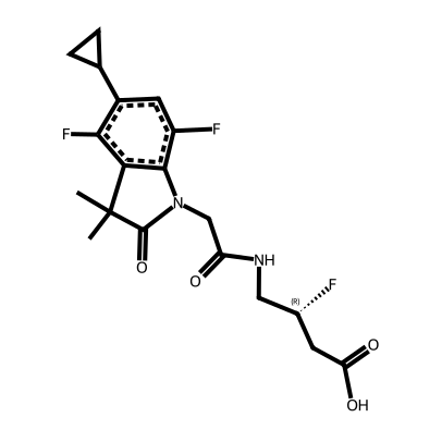 CC1(C)C(=O)N(CC(=O)NC[C@H](F)CC(=O)O)c2c(F)cc(C3CC3)c(F)c21